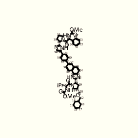 COC(=O)N[C@H](C(=O)N1C[C@@H](COCC2CCCCC2)C[C@H]1c1nc2ccc3cc(-c4ccc(-c5cnc([C@@H]6CCCN6C(=O)[C@H](NC(=O)OC)c6ccccc6)[nH]5)cc4)ccc3c2[nH]1)C(C)C